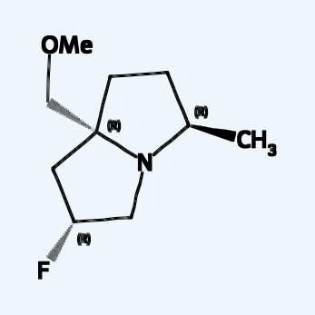 COC[C@]12CC[C@@H](C)N1C[C@H](F)C2